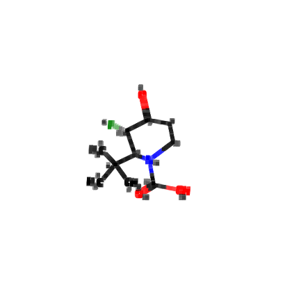 CC(C)(C)C1[C@H](F)C(=O)CCN1C(=O)O